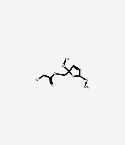 COC1C=CC(COC(=O)CO)(OC)O1